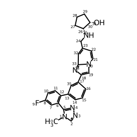 Cn1cnnc1-c1cc(F)ccc1-c1cccc(-c2cn3ccc(CN[C@@H]4CCC[C@@H]4O)cc3n2)c1